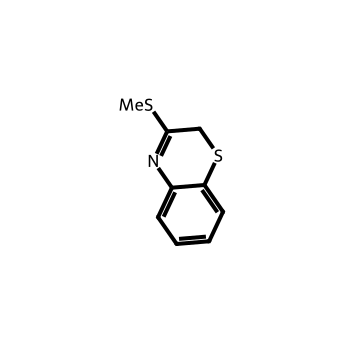 CSC1=Nc2ccccc2SC1